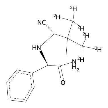 [2H]C([2H])([2H])C(C)([C@@H](C#N)N[C@@H](C(N)=O)c1ccccc1)C([2H])([2H])[2H]